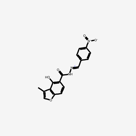 Cc1coc2ccc(C(=O)N/N=C/c3ccc([N+](=O)[O-])cc3)c(O)c12